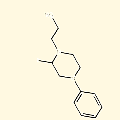 OCCN1CCN(c2ccccc2)CC1I